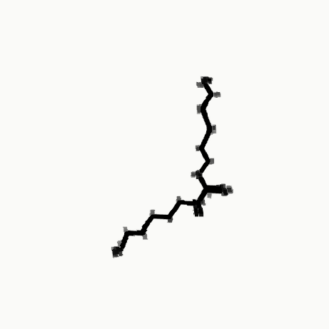 CC(C)CCCCCNC(=S)SCCCCCC(C)C